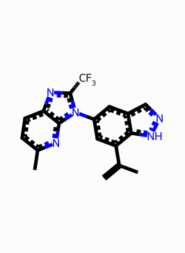 C=C(C)c1cc(-n2c(C(F)(F)F)nc3ccc(C)nc32)cc2cn[nH]c12